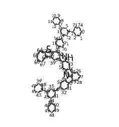 c1ccc(-c2cc(-c3ccccc3)cc(-c3ccc(-c4c5[nH]c6cc7c8cccc9c%10ccc(-c%11cc(-c%12ccccc%12)cc(-c%12ccccc%12)c%11)cc%10n(c7cc6c5cc5c4sc4ccccc45)c98)cc3)c2)cc1